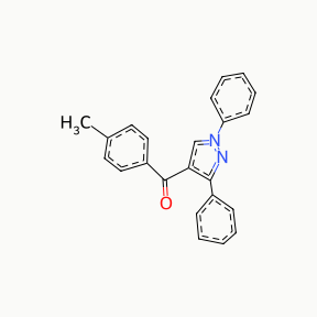 Cc1ccc(C(=O)c2cn(-c3ccccc3)nc2-c2ccccc2)cc1